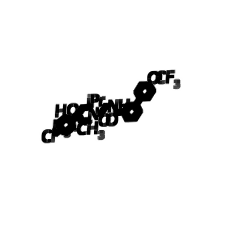 CC(C)[C@@H](NC(=O)c1cccc(-c2ccc(OC(F)(F)F)cc2)c1)C(=O)N1CC[C@](O)(c2ccc(Cl)cc2)C(C)(C)C1